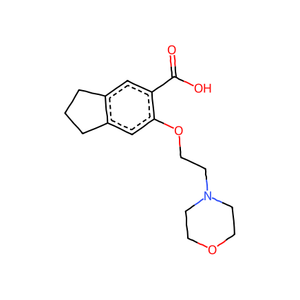 O=C(O)c1cc2c(cc1OCCN1CCOCC1)CCC2